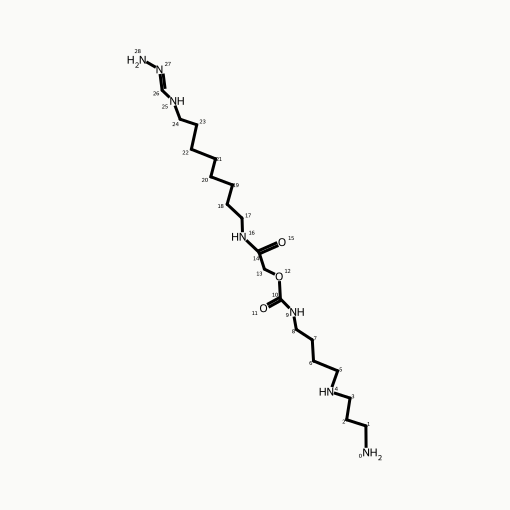 NCCCNCCCCNC(=O)OCC(=O)NCCCCCCCCNC=NN